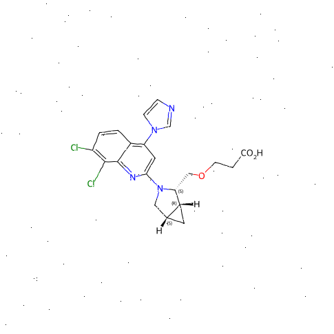 O=C(O)CCOC[C@@H]1[C@@H]2C[C@@H]2CN1c1cc(-n2ccnc2)c2ccc(Cl)c(Cl)c2n1